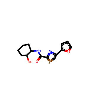 O=C(NC1CCCCC1O)c1nc(-c2ccco2)cs1